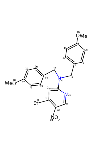 CCc1cc(N(Cc2ccc(OC)cc2)Cc2ccc(OC)cc2)ncc1[N+](=O)[O-]